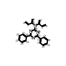 C=CC(=C)N(C(=C)C=C)c1nc(-c2ccccc2)nc(-c2ccccc2)n1